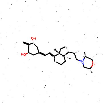 C=C1[C@H](O)CC(=C/C=C2\CCC[C@]3(C)[C@@H]([C@H](C)CN4C[C@@H](C)OC[C@@H]4C)CC[C@@H]23)C[C@H]1O